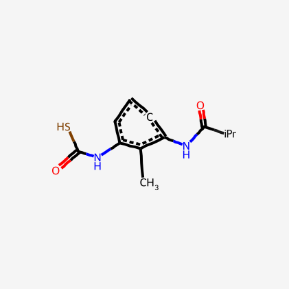 Cc1c(NC(=O)S)cccc1NC(=O)C(C)C